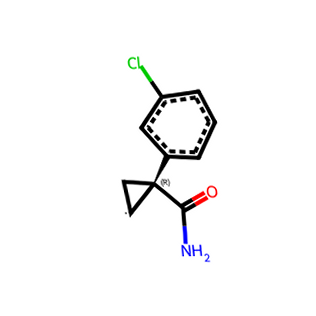 NC(=O)[C@]1(c2cccc(Cl)c2)[CH]C1